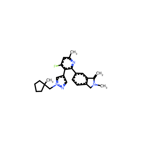 C=C1c2cc(-c3nc(C)cc(F)c3-c3cnn(CC4(C)CCCC4)c3)ccc2CN1C